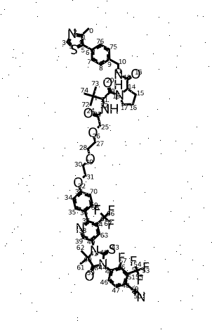 Cc1ncsc1-c1ccc(CNC(=O)C2CCCN2C(=O)C(NC(=O)COCCOCCOc2ccc(-c3ncc(N4C(=S)N(c5ccc(C#N)c(C(F)(F)F)c5F)C(=O)C4(C)C)cc3C(F)(F)F)cc2)C(C)(C)C)cc1